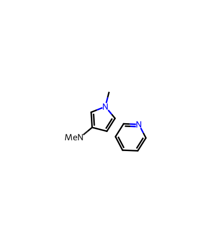 CNc1ccn(C)c1.c1ccncc1